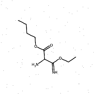 CCCCOC(=O)C(N)C(=N)OCC